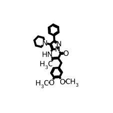 COc1ccc(Cc2c(C)[nH]c3c(N4CCCCC4)c(-c4ccccc4)nn3c2=O)cc1OC